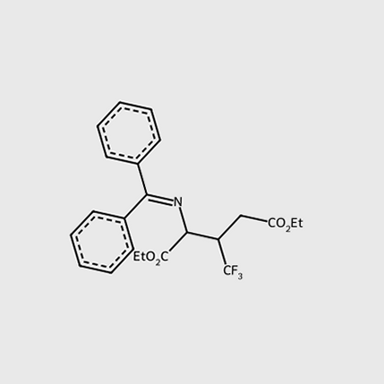 CCOC(=O)CC(C(N=C(c1ccccc1)c1ccccc1)C(=O)OCC)C(F)(F)F